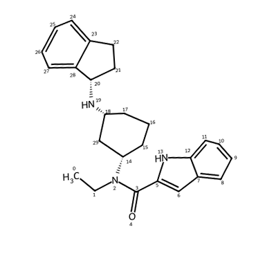 CCN(C(=O)c1cc2ccccc2[nH]1)[C@H]1CCC[C@@H](N[C@H]2CCc3ccccc32)C1